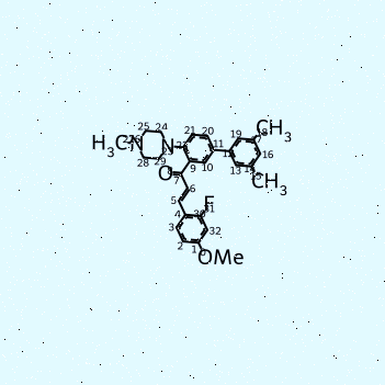 COc1ccc(C=CC(=O)c2cc(-c3cc(C)cc(C)c3)ccc2N2CCN(C)CC2)c(F)c1